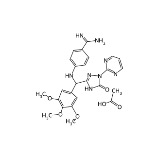 CC(=O)O.COc1cc(C(Nc2ccc(C(=N)N)cc2)c2nn(-c3ncccn3)c(=O)[nH]2)cc(OC)c1OC